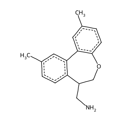 Cc1ccc2c(c1)-c1cc(C)ccc1C(CN)CO2